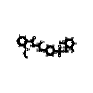 CCOc1ccccc1C(=O)NC(=S)Nc1ccc(S(=O)(=O)Nc2c(C)cccc2C)cc1